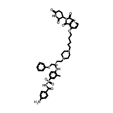 Cc1cc(S(=O)(=O)NC(=O)c2ccc(N)cc2)ccc1N[C@H](CCN1CCN(CCCCCOc2cccc3c2C(=O)N(C2CCC(=O)NC2=O)C3=O)CC1)CSc1ccccc1